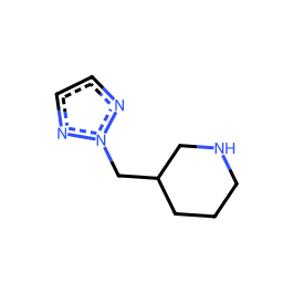 c1cnn(CC2CCCNC2)n1